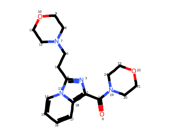 O=C(c1nc(CCN2CCOCC2)n2ccccc12)N1CCOCC1